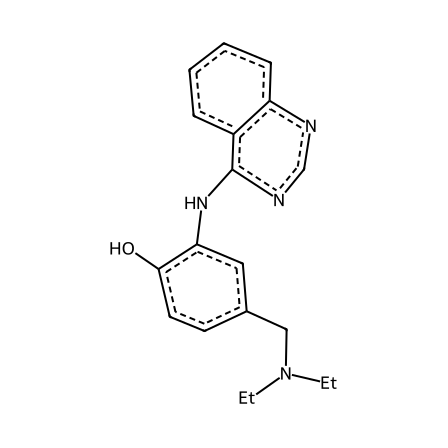 CCN(CC)Cc1ccc(O)c(Nc2ncnc3ccccc23)c1